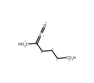 O=C=C(CCCC(=O)O)C(=O)O